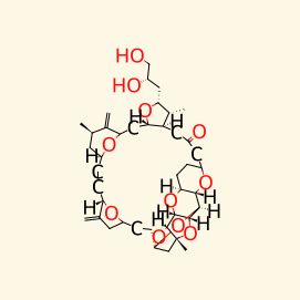 C=C1C2C[C@@H]3O[C@H](C[C@H](O)CO)[C@H](C)[C@H]3CC(=O)CC3CC[C@@H]4O[C@@H]5[C@H]6O[C@]7(C)C[C@](CCC8CC(=C)[C@H](CC[C@@H](C[C@H]1C)O2)O8)(O[C@H]6[C@H]4O3)O[C@H]57